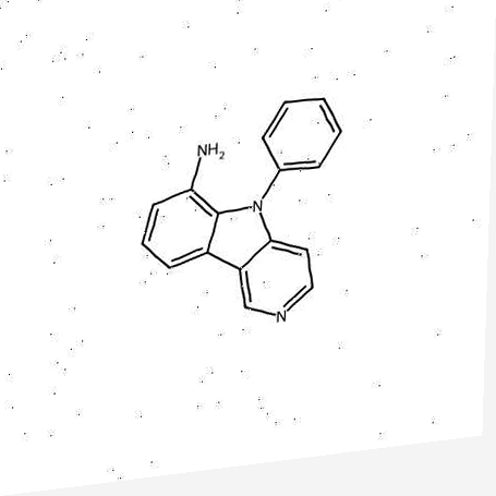 Nc1cccc2c3cnccc3n(-c3ccccc3)c12